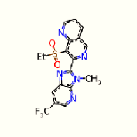 CCS(=O)(=O)c1c(-c2nc3cc(C(F)(F)F)cnc3n2C)ncc2cccnc12